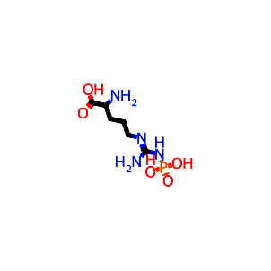 N/C(=N\CCCC(N)C(=O)O)NP(=O)(O)O